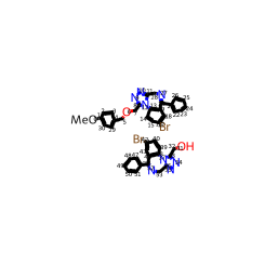 COc1ccc(COCc2nnc3n2-c2ccc(Br)cc2C(c2ccccc2)=NC3)cc1.OCc1nnc2n1-c1ccc(Br)cc1C(c1ccccc1)=NC2